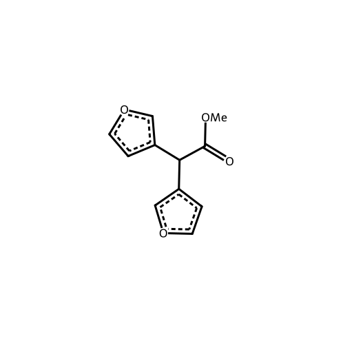 COC(=O)C(c1ccoc1)c1ccoc1